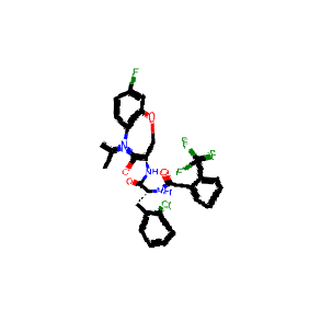 CC(C)N1C(=O)[C@H](NC(=O)[C@@H](Cc2ccccc2Cl)NC(=O)c2ccccc2C(F)(F)F)COc2cc(F)ccc21